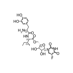 CC[C@H](C)[C@H](NC(=O)[C@@H](N)Cc1ccc(O)c(O)c1)C(=O)OC[C@@H]1O[C@H](n2cc(F)c(=O)[nH]c2=O)C(O)C1O